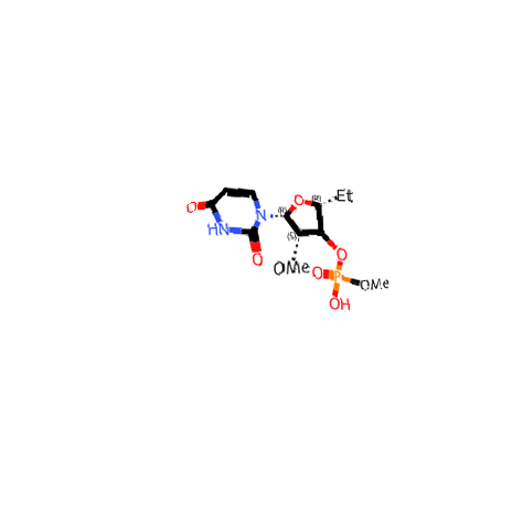 CC[C@H]1O[C@@H](n2ccc(=O)[nH]c2=O)[C@@H](OC)C1OP(=O)(O)OC